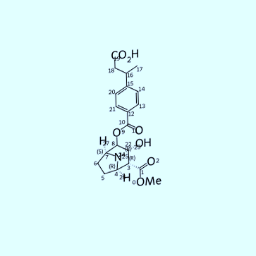 COC(=O)[C@@H]1[C@H]2CC[C@@H](C(OC(=O)c3ccc(C(C)CC(=O)O)cc3)[C@@H]1O)N2C